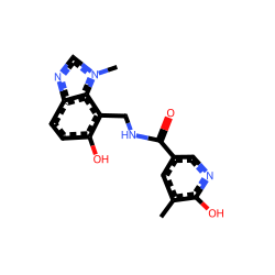 Cc1cc(C(=O)NCc2c(O)ccc3ncn(C)c23)cnc1O